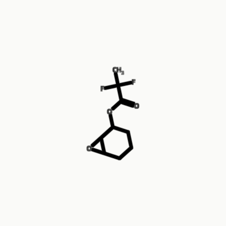 CC(F)(F)C(=O)OC1CCCC2OC12